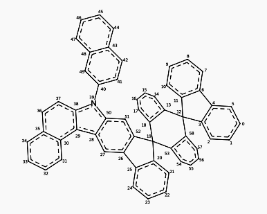 c1ccc2c(c1)-c1ccccc1C21c2ccccc2C2(c3ccccc3-c3cc4c5c6ccccc6ccc5n(-c5ccc6ccccc6c5)c4cc32)c2ccccc21